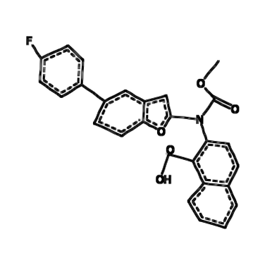 COC(=O)N(c1cc2cc(-c3ccc(F)cc3)ccc2o1)c1ccc2ccccc2c1C(=O)O